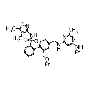 CCNc1cc(NCc2ccc(-c3ccccc3S(=O)(=O)Nc3noc(C)c3C)c(COCC)c2)nc(C)n1